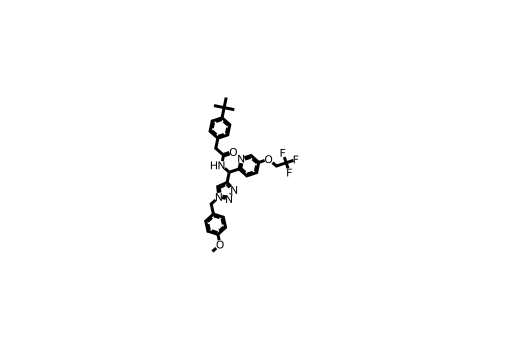 COc1ccc(Cn2cc(C(NC(=O)Cc3ccc(C(C)(C)C)cc3)c3ccc(OCC(F)(F)F)cn3)nn2)cc1